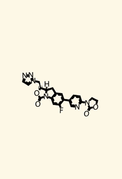 O=C1OCCN1c1ccc(-c2cc3c(cc2F)N2C(=O)O[C@@H](Cn4ccnn4)[C@@H]2C3)cn1